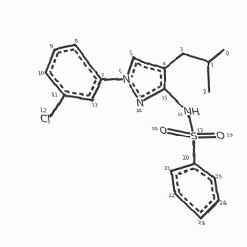 CC(C)Cc1cn(-c2cccc(Cl)c2)nc1NS(=O)(=O)c1ccccc1